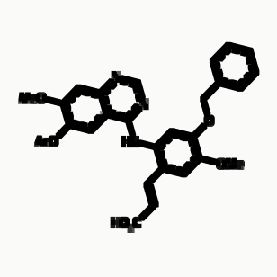 COc1cc(/C=C/C(=O)O)c(Nc2ncnc3cc(OC)c(OC(C)=O)cc23)cc1OCc1ccccc1